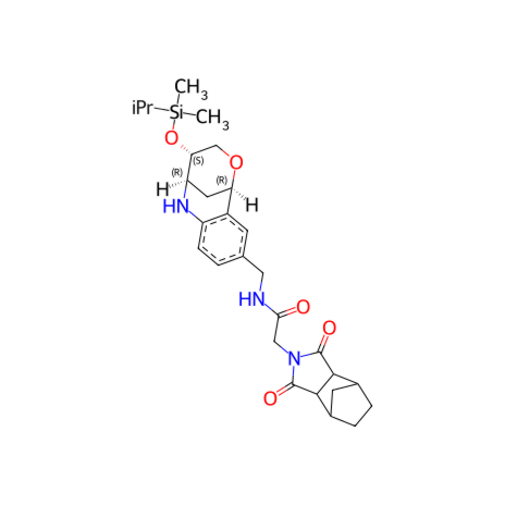 CC(C)[Si](C)(C)O[C@@H]1CO[C@@H]2C[C@H]1Nc1ccc(CNC(=O)CN3C(=O)C4C5CCC(C5)C4C3=O)cc12